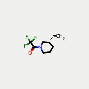 CC[C@@H]1CCCN(C(=O)C(F)(F)F)C1